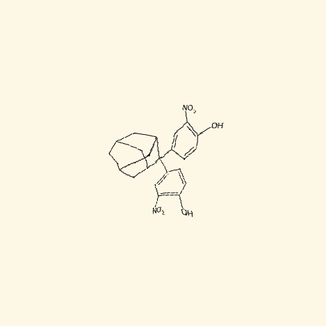 O=[N+]([O-])c1cc(C2(c3ccc(O)c([N+](=O)[O-])c3)C3CC4CC(C3)CC2C4)ccc1O